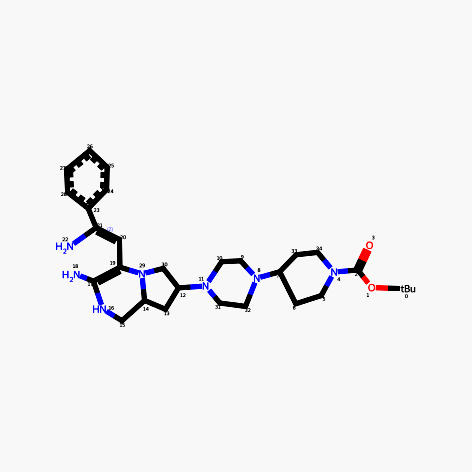 CC(C)(C)OC(=O)N1CCC(N2CCN(C3CC4CNC(N)=C(/C=C(\N)c5ccccc5)N4C3)CC2)CC1